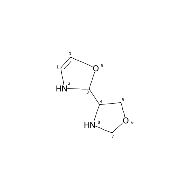 [C]1=CNC(C2COCN2)O1